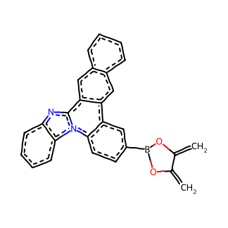 C=C1OB(c2ccc3c(c2)c2cc4ccccc4cc2c2nc4ccccc4n32)OC1=C